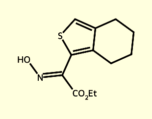 CCOC(=O)/C(=N/O)c1scc2c1CCCC2